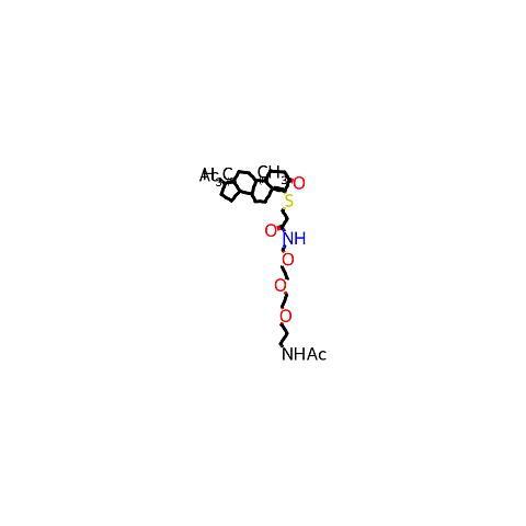 CC(=O)NCCCOCCOCCOCNC(=O)CCSC1=C2CCC3C4CCC(C(C)=O)[C@@]4(C)CCC3[C@@]2(C)CCC1=O